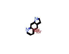 Br.Br.C1=NC2=Cc3ncccc3CC2=C1